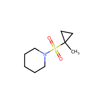 CC1(S(=O)(=O)N2CCCCC2)CC1